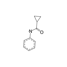 O=C([N]c1ccccc1)C1CC1